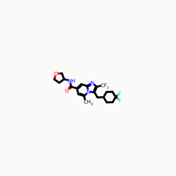 Cc1cc(C(=O)NC2CCOC2)cc2nc(C(F)(F)F)c(CC3CCC(F)(F)CC3)n12